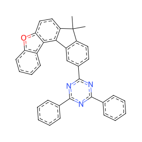 CC1(C)c2ccc(-c3nc(-c4ccccc4)nc(-c4ccccc4)n3)cc2-c2c1ccc1oc3ccccc3c21